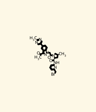 CC(=O)c1nn(CC(=O)N2C[C@@H](C)C[C@H]2C(=O)Nc2cccc(CBr)n2)c2ccc(-c3cnc(C)nc3)cc12